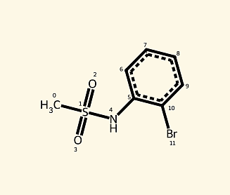 CS(=O)(=O)Nc1c[c]ccc1Br